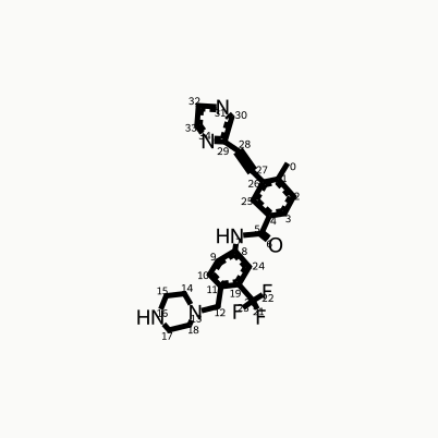 Cc1ccc(C(=O)Nc2ccc(CN3CCNCC3)c(C(F)(F)F)c2)cc1C#Cc1cnccn1